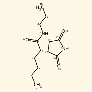 CCCCCC(=O)NCCC.O=C1CCC(=O)N1